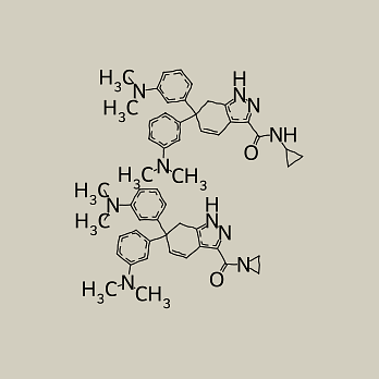 CN(C)c1cccc(C2(c3cccc(N(C)C)c3)C=Cc3c(C(=O)N4CC4)n[nH]c3C2)c1.CN(C)c1cccc(C2(c3cccc(N(C)C)c3)C=Cc3c(C(=O)NC4CC4)n[nH]c3C2)c1